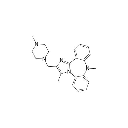 Cc1c(CN2CCN(C)CC2)nc2n1-c1ccccc1N(C)c1ccccc1-2